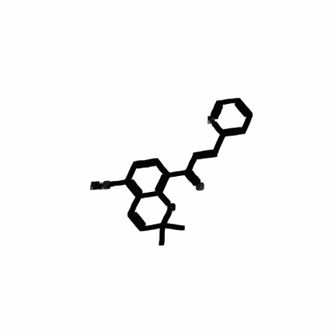 COc1ccc(C(=O)C=Cc2ccccn2)c2c1C=CC(C)(C)O2